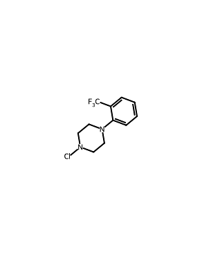 FC(F)(F)c1ccccc1N1CCN(Cl)CC1